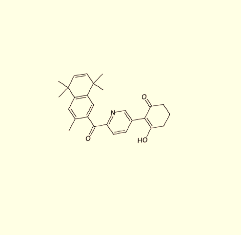 Cc1cc2c(cc1C(=O)c1ccc(C3=C(O)CCCC3=O)cn1)C(C)(C)C=CC2(C)C